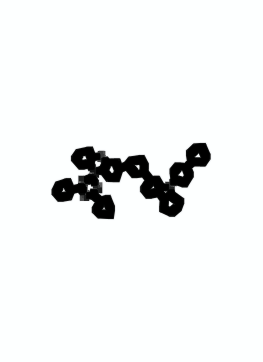 c1ccc(-c2ccc(-n3c4ccccc4c4ccc(-c5cccc(-c6ccc7c(c6)Sc6ccccc6N7c6nc(-c7ccccc7)nc(-c7ccccc7)n6)c5)cc43)cc2)cc1